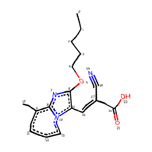 CCCCCOc1nc2c(C)cccn2c1C=C(C#N)C(=O)O